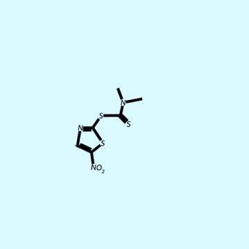 CN(C)C(=S)Sc1n[c]c([N+](=O)[O-])s1